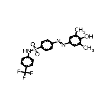 Cc1cc(N=Nc2ccc(S(=O)(=O)Nc3ccc(C(F)(F)F)cc3)cc2)cc(C)c1O